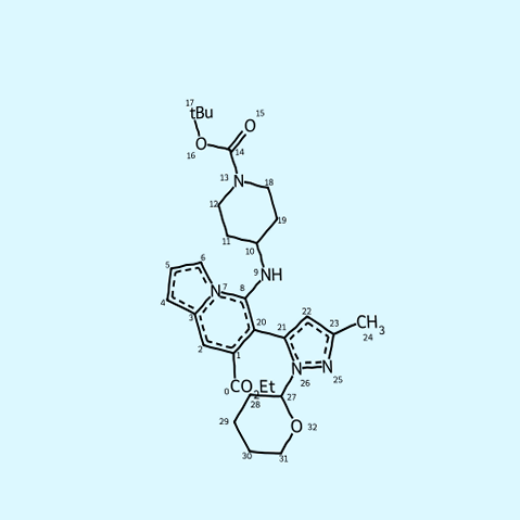 CCOC(=O)c1cc2cccn2c(NC2CCN(C(=O)OC(C)(C)C)CC2)c1-c1cc(C)nn1C1CCCCO1